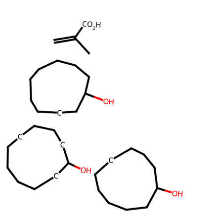 C=C(C)C(=O)O.OC1CCCCCCCCC1.OC1CCCCCCCCC1.OC1CCCCCCCCC1